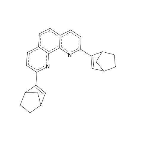 C1=C(c2ccc3ccc4ccc(C5=CC6CCC5C6)nc4c3n2)C2CCC1C2